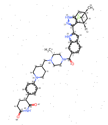 C[C@@H]1CN(C(=O)c2ccc3cc(-c4n[nH]c5c4[C@H]4C[C@@](C)(C5)C4(F)F)[nH]c3c2)CCN1CC1CCN(c2ccc(C3CCC(=O)NC3=O)cc2)CC1